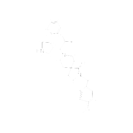 COc1ccc(CN2CCC3(CCN(C(C(C)C)[C@@H]4CNC[C@@H]4c4ccccc4)CC3)C2=O)cc1